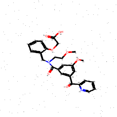 COCCN(Cc1ccccc1OCC(=O)O)C(=O)c1cc(OC)cc(C(=O)c2ccccn2)c1